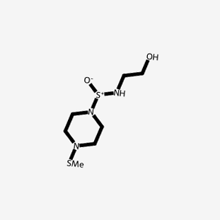 CSN1CCN([S+]([O-])NCCO)CC1